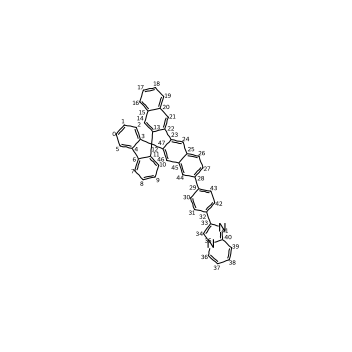 c1ccc2c(c1)-c1ccccc1C21c2cc3ccccc3cc2-c2cc3ccc(-c4ccc(-c5cn6ccccc6n5)cc4)cc3cc21